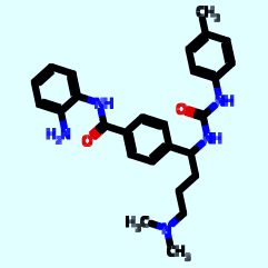 Cc1ccc(NC(=O)NC(CCCN(C)C)c2ccc(C(=O)Nc3ccccc3N)cc2)cc1